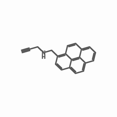 C#CCNCc1ccc2ccc3cccc4ccc1c2c34